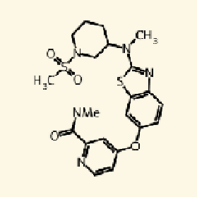 CNC(=O)c1cc(Oc2ccc3nc(N(C)C4CCCN(S(C)(=O)=O)C4)sc3c2)ccn1